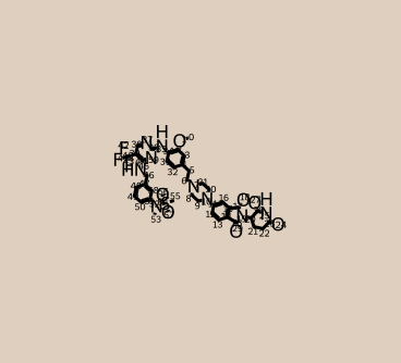 COc1cc(CCN2CCN(c3ccc4c(c3)C(=O)N(C3CCC(=O)NC3=O)C4=O)CC2)ccc1Nc1ncc(C(F)(F)F)c(NCc2cccc(N(C)S(C)(=O)=O)c2)n1